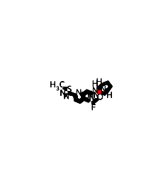 Cc1nnc(-c2ccc3cnc(NC(=O)N4[C@@H]5CC[C@H]4CC(NCCF)C5)cc3n2)s1